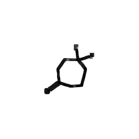 O=C1CCCC(F)(F)CC1